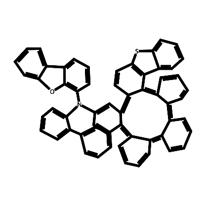 c1ccc(-c2ccccc2N(c2ccc3c4ccccc4c4ccccc4c4ccccc4c4c(ccc5sc6ccccc6c54)c3c2)c2cccc3c2oc2ccccc23)cc1